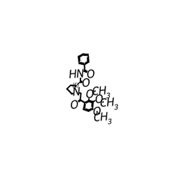 COc1ccc(C(=O)CN2CCC[C@H]2C(=O)NC(=O)c2ccccc2)c(OC)c1OC